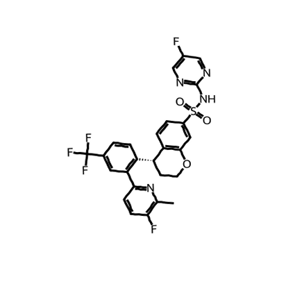 Cc1nc(-c2cc(C(F)(F)F)ccc2[C@H]2CCOc3cc(S(=O)(=O)Nc4ncc(F)cn4)ccc32)ccc1F